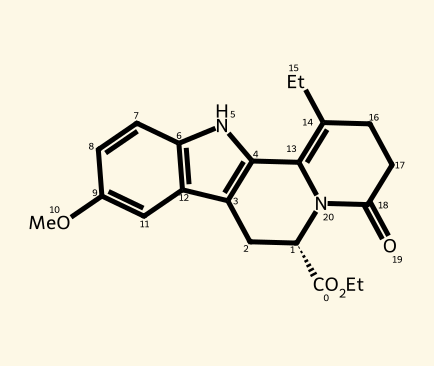 CCOC(=O)[C@@H]1Cc2c([nH]c3ccc(OC)cc23)C2=C(CC)CCC(=O)N21